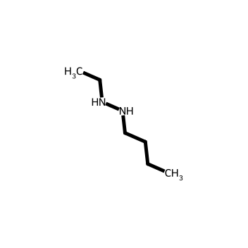 CCCCNNCC